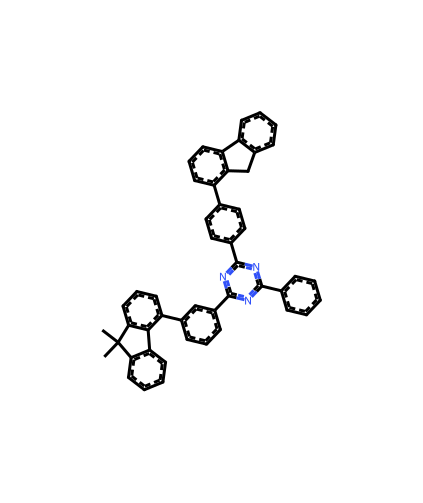 CC1(C)c2ccccc2-c2c(-c3cccc(-c4nc(-c5ccccc5)nc(-c5ccc(-c6cccc7c6Cc6ccccc6-7)cc5)n4)c3)cccc21